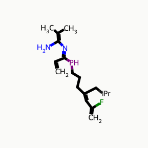 C=C/C(=N\C(N)=C(C)C)PCCC/C(=C/C(=C)F)CC(C)C